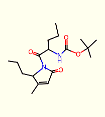 CCCC1C(C)=CC(=O)N1C(=O)[C@@H](CCC)NC(=O)OC(C)(C)C